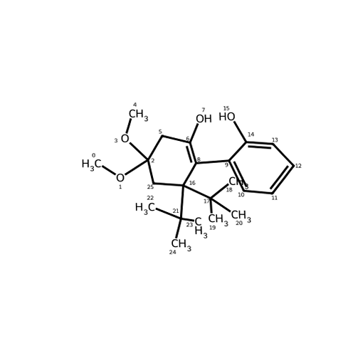 COC1(OC)CC(O)=C(c2ccccc2O)C(C(C)(C)C)(C(C)(C)C)C1